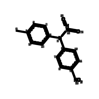 Cc1ccc(N(c2ccc([N+](=O)[O-])cc2)[SH](=O)=O)cc1